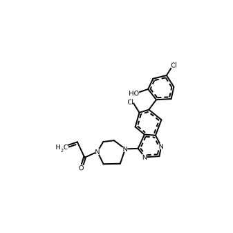 C=CC(=O)N1CCN(c2ncnc3cc(-c4ccc(Cl)cc4O)c(Cl)cc23)CC1